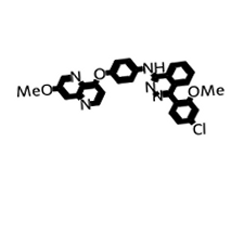 COc1cnc2c(Oc3ccc(Nc4nnc(-c5ccc(Cl)cc5OC)c5ccccc45)cc3)ccnc2c1